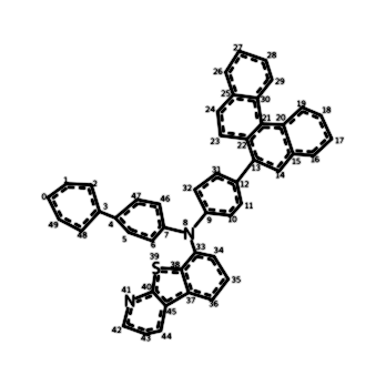 c1ccc(-c2ccc(N(c3ccc(-c4cc5ccccc5c5c4ccc4ccccc45)cc3)c3cccc4c3sc3ncccc34)cc2)cc1